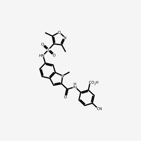 Cc1noc(C)c1S(=O)(=O)Nc1ccc2cc(C(=O)[AsH]c3ccc(C#N)cc3C(=O)O)n(C)c2c1